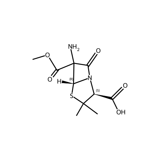 COC(=O)C1(N)C(=O)N2[C@@H](C(=O)O)C(C)(C)S[C@@H]21